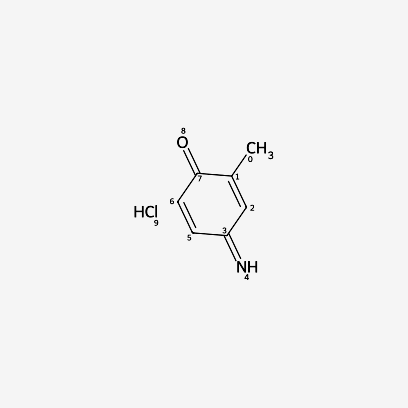 CC1=CC(=N)C=CC1=O.Cl